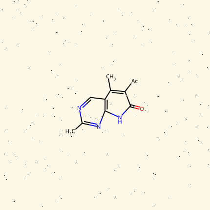 CC(=O)c1c(C)c2cnc(C)nc2[nH]c1=O